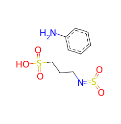 Nc1ccccc1.O=S(=O)=NCCCS(=O)(=O)O